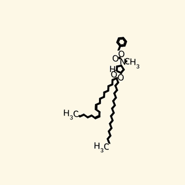 CCCCC/C=C\C/C=C\CCCCCCCCC1(CCCCCCCCCCCCCCCCCC)OC2C[C@@H](N(C)C(=O)OCc3ccccc3)C[C@@H]2O1